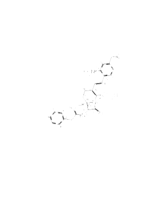 O=C(Cc1ccccc1)NC1C(=O)N2C(C(=O)O)=C(C=Cc3ccc(CCl)cc3[N+](=O)[O-])CS[C@@H]12